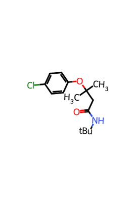 CC(C)(C)NC(=O)CC(C)(C)Oc1ccc(Cl)cc1